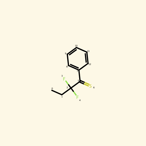 CCC(F)(F)C(=S)c1ccccc1